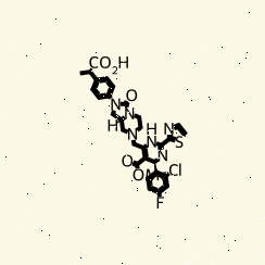 COC(=O)C1=C(CN2CCN3C(=O)N(c4ccc([C@@H](C)C(=O)O)cc4)C[C@@H]3C2)NC(c2nccs2)=N[C@H]1c1ccc(F)cc1Cl